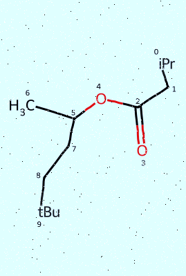 CC(C)CC(=O)OC(C)CCC(C)(C)C